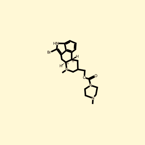 CN1CCN(C(=O)OCC2C[C@H]3c4cccc5[nH]c(Br)c(c45)C[C@@H]3N(C)C2)CC1